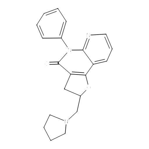 O=c1c2c(c3cccnc3n1-c1ccccc1)OC(CN1CCCC1)C2